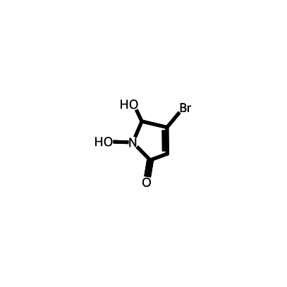 O=C1C=C(Br)C(O)N1O